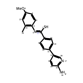 COc1ccc(/N=C(\S)c2ccc(-c3ccc(N)nc3)cc2)c(C)c1